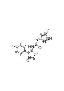 Cc1ccc(C2C(NC(=O)Cc3cc(C)[nH]n3)CCN2C)cc1